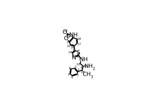 C[C@@H](c1ccccc1)[C@H](N)CNc1ncc(-c2ccc3[nH]c(=O)oc3c2)s1